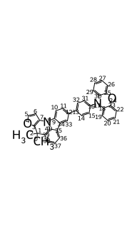 CC1(C)c2occc2-n2c3ccc(-c4ccc(N5c6ccccc6Oc6ccccc65)cc4)cc3c3cccc1c32